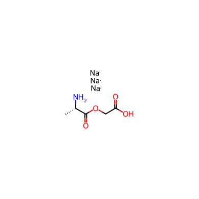 C[C@H](N)C(=O)OCC(=O)O.[Na].[Na].[Na]